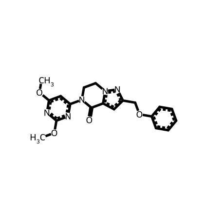 COc1cc(N2CCn3nc(COc4ccccc4)cc3C2=O)nc(OC)n1